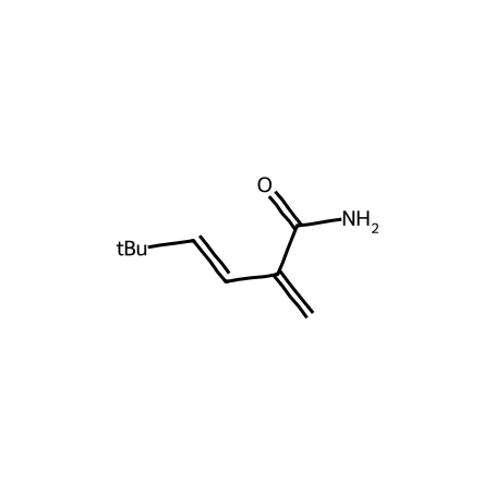 C=C(C=CC(C)(C)C)C(N)=O